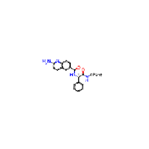 CCCCCNC(=O)[C@@H](NC(=O)c1ccc2nc(N)ccc2c1)c1ccccc1